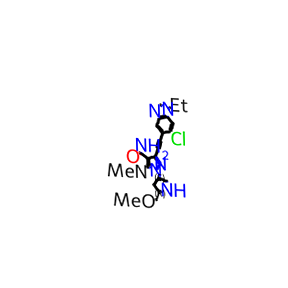 CCn1cnc2cc(C#Cc3nn([C@@H]4CN[C@@H](COC)C4)c(NC)c3C(N)=O)c(Cl)cc21